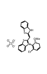 CCC1=C([n+]2c(C=C3Nc4ccccc4S3)sc3ccccc32)N(OC)CC=C1.[O-][Cl+3]([O-])([O-])[O-]